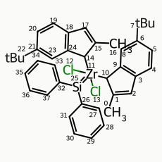 CC1=Cc2ccc(C(C)(C)C)cc2[CH]1[Zr]([Cl])([Cl])([CH]1C(C)=Cc2ccc(C(C)(C)C)cc21)=[Si](c1ccccc1)c1ccccc1